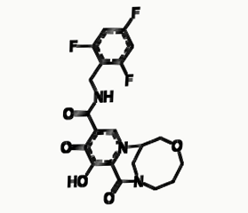 O=C(NCc1c(F)cc(F)cc1F)c1cn2c(c(O)c1=O)C(=O)N1CCCOCC2C1